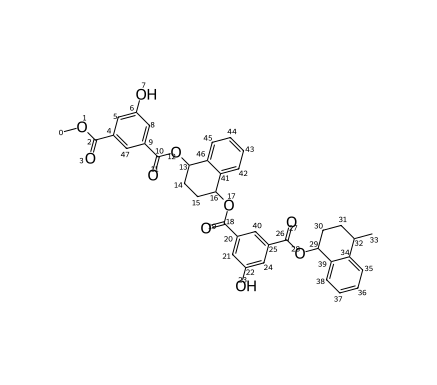 COC(=O)c1cc(O)cc(C(=O)OC2CCC(OC(=O)c3cc(O)cc(C(=O)OC4CCC(C)c5ccccc54)c3)c3ccccc32)c1